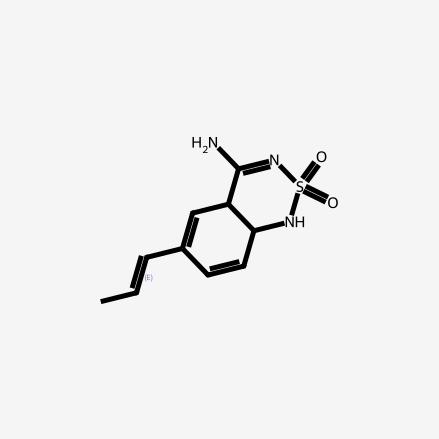 C/C=C/C1=CC2C(N)=NS(=O)(=O)NC2C=C1